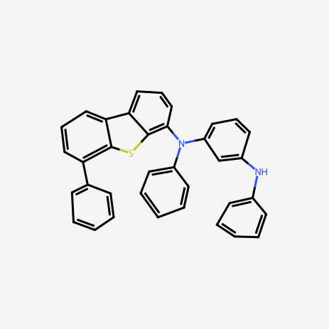 c1ccc(Nc2cccc(N(c3ccccc3)c3cccc4c3sc3c(-c5ccccc5)cccc34)c2)cc1